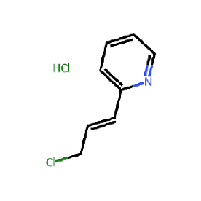 Cl.ClCC=Cc1ccccn1